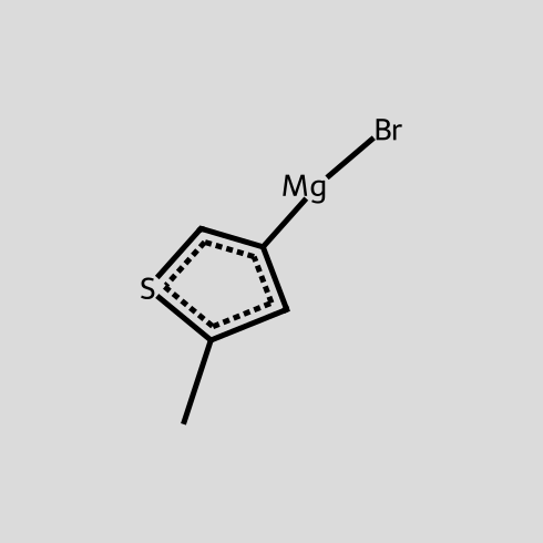 Cc1c[c]([Mg][Br])cs1